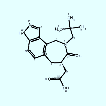 CC(C)(C)CN1Cc2c(ccc3[nH]ncc23)C[C@H](CC(=O)O)C1=O